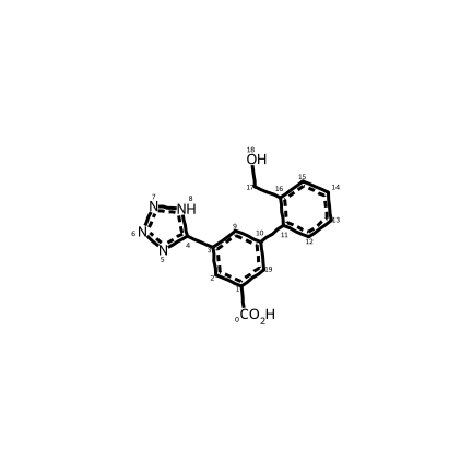 O=C(O)c1cc(-c2nnn[nH]2)cc(-c2ccccc2CO)c1